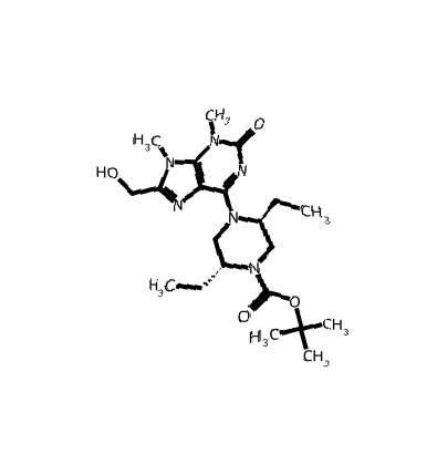 CC[C@@H]1CN(c2nc(=O)n(C)c3c2nc(CO)n3C)[C@@H](CC)CN1C(=O)OC(C)(C)C